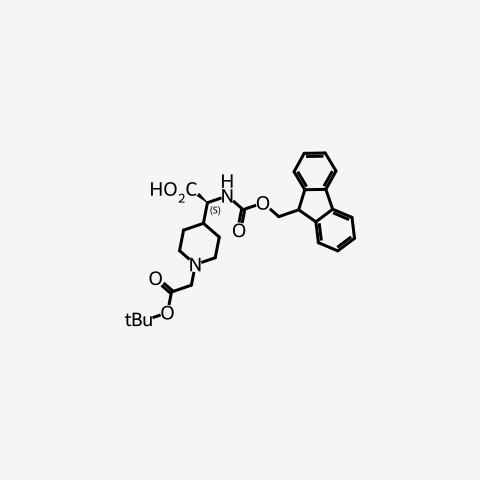 CC(C)(C)OC(=O)CN1CCC([C@H](NC(=O)OCC2c3ccccc3-c3ccccc32)C(=O)O)CC1